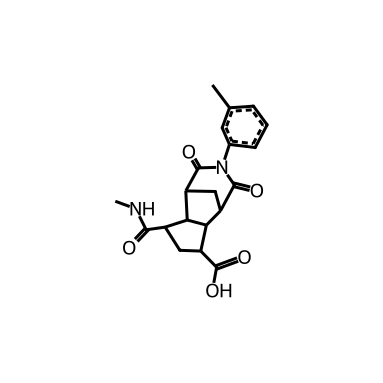 CNC(=O)C1CC(C(=O)O)C2C3CC(C(=O)N(c4cccc(C)c4)C3=O)C12